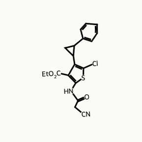 CCOC(=O)c1c(NC(=O)CC#N)sc(Cl)c1C1CC1c1ccccc1